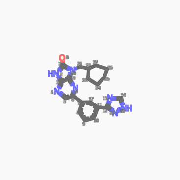 O=c1[nH]c2ncc(-c3cccc(-c4nc[nH]n4)c3)nc2n1CC1CCCCC1